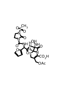 CC(=O)OCC1=C(C(=O)O)N2C(=O)[C@@](NO)(NC(=O)C(NC(=O)N3CCN(S(C)(=O)=O)C3=O)c3ccco3)[C@H]2SC1